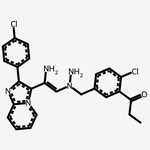 CCC(=O)c1cc(CN(N)/C=C(\N)c2c(-c3ccc(Cl)cc3)nc3ccccn23)ccc1Cl